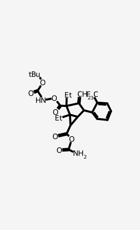 C=C1C(c2ccccc2C(F)(F)F)C2C(C(=O)OC(N)=O)C2(CC)C1(CC)C(=O)ONC(=O)OC(C)(C)C